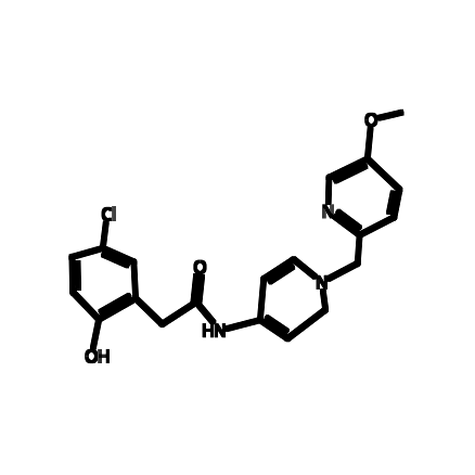 COc1ccc(CN2C=CC(NC(=O)Cc3cc(Cl)ccc3O)=CC2)nc1